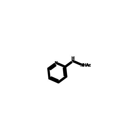 CC(=O)NNc1ccccn1